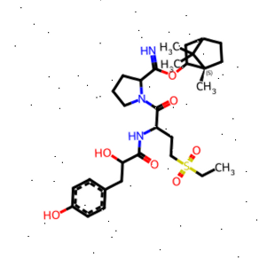 CCS(=O)(=O)CCC(NC(=O)C(O)Cc1ccc(O)cc1)C(=O)N1CCCC1C(=N)OC1CC2CC[C@@]1(C)C2(C)C